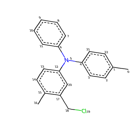 Cc1ccc(N(c2ccccc2)c2ccc(C)c(CCl)c2)cc1